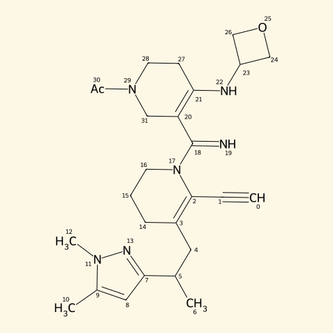 C#CC1=C(CC(C)c2cc(C)n(C)n2)CCCN1C(=N)C1=C(NC2COC2)CCN(C(C)=O)C1